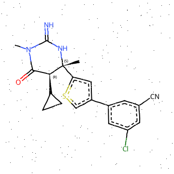 CN1C(=N)N[C@](C)(c2cc(-c3cc(Cl)cc(C#N)c3)cs2)[C@@H](C2CC2)C1=O